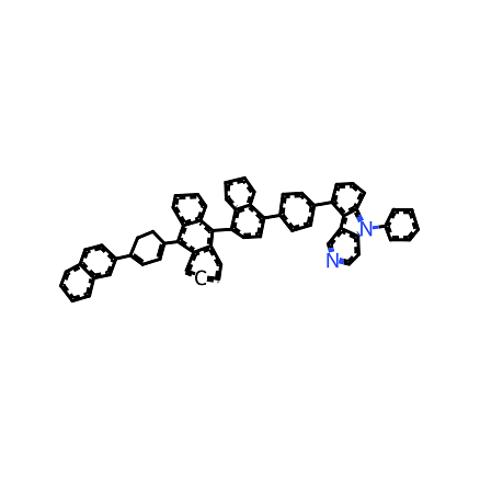 C1=C(c2ccc3ccccc3c2)CCC(c2c3ccccc3c(-c3ccc(-c4ccc(-c5cccc6c5c5cnccc5n6-c5ccccc5)cc4)c4ccccc34)c3ccccc23)=C1